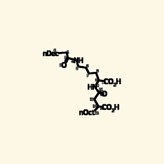 CCCCCCCCCCCC(=O)NCCCCC(NC(=O)CC(CCCCCCCC)C(=O)O)C(=O)O